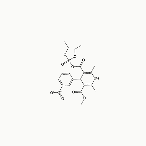 CCOP(=O)(OCC)OC(=O)C1=C(C)NC(C)=C(C(=O)OC)C1c1cccc([N+](=O)[O-])c1